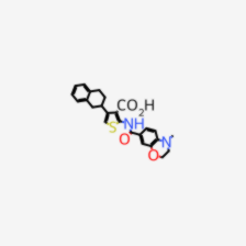 CN1CCOc2cc(C(=O)Nc3scc(C4CCc5ccccc5C4)c3C(=O)O)ccc21